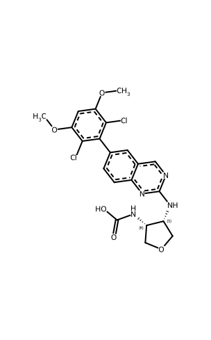 COc1cc(OC)c(Cl)c(-c2ccc3nc(N[C@@H]4COC[C@@H]4NC(=O)O)ncc3c2)c1Cl